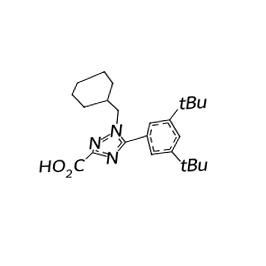 CC(C)(C)c1cc(-c2nc(C(=O)O)nn2CC2CCCCC2)cc(C(C)(C)C)c1